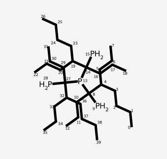 CCCCC(CCC)C(P)(CCC)P(C(P)(CCC)C(CCC)CCCC)C(P)(CCC)C(CCC)CCCC